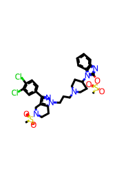 CS(=O)(=O)Oc1nc2ccccc2n1C1CCN(CCCn2nc(-c3ccc(Cl)c(Cl)c3)c3c2CCN(S(C)(=O)=O)C3)CC1